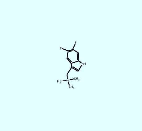 C[N+](C)(C)Cc1c[nH]c2cc(F)c(F)cc12